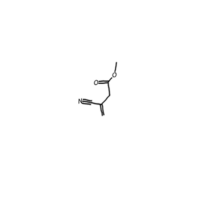 C=C(C#N)CC(=O)OC